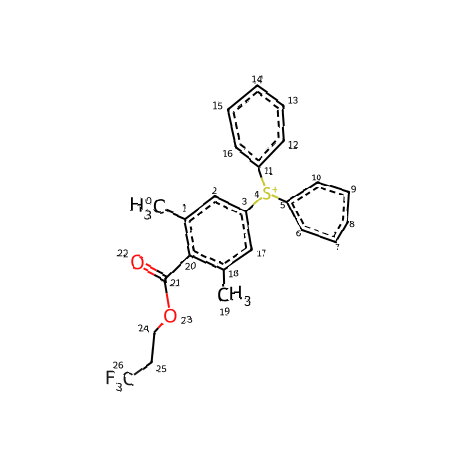 Cc1cc([S+](c2ccccc2)c2ccccc2)cc(C)c1C(=O)OCCC(F)(F)F